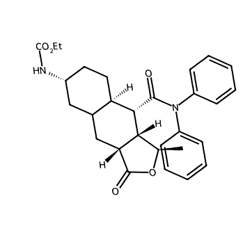 CCOC(=O)N[C@@H]1CC[C@@H]2C(C1)C[C@H]1C(=O)O[C@H](C)[C@H]1[C@H]2C(=O)N(c1ccccc1)c1ccccc1